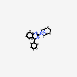 c1ccc(-c2nc(N3CC4CCCC(C3)N4)nc3ccccc23)cc1